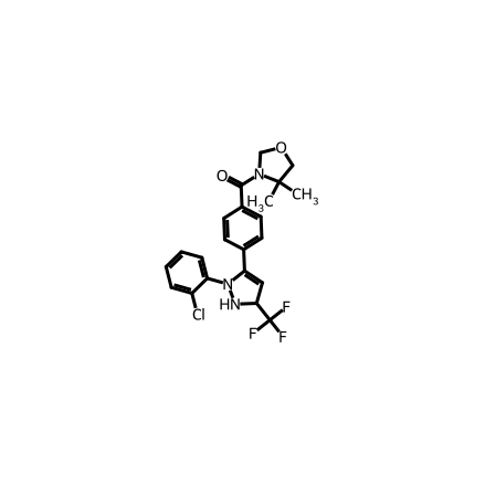 CC1(C)COCN1C(=O)c1ccc(C2=CC(C(F)(F)F)NN2c2ccccc2Cl)cc1